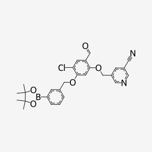 CC1(C)OB(c2cccc(COc3cc(OCc4cncc(C#N)c4)c(C=O)cc3Cl)c2)OC1(C)C